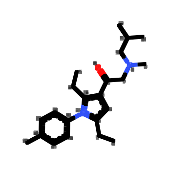 CCc1cc(C(=O)CN(C)CC(C)C)c(CC)n1-c1ccc(C)cc1